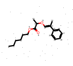 CCCCCCOC(=O)C(C)OC=C(C)c1ccccc1